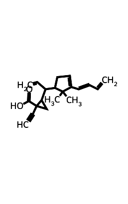 C#CC1(C(=O)O)CC1C(C=C)C1CC=C(C=CC=C)C1(C)C